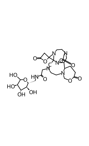 O=C(CN1CCN2COC(=O)CCC2C2CN3CCN4C5(CC(=O)O5)C4(C1)N2OC(=O)C3)NC[C@H]1OC(O)[C@H](O)[C@@H](O)[C@@H]1O